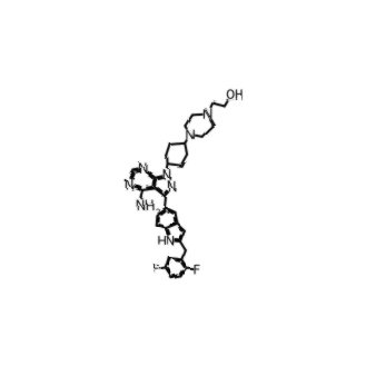 Nc1ncnc2c1c(-c1ccc3[nH]c(Cc4cc(F)ccc4F)cc3c1)nn2C1CCC(N2CCN(CCO)CC2)CC1